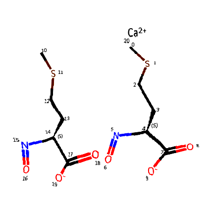 CSCC[C@H](N=O)C(=O)[O-].CSCC[C@H](N=O)C(=O)[O-].[Ca+2]